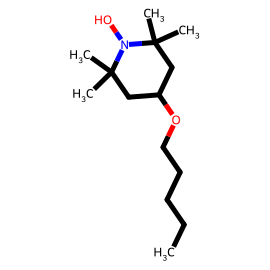 CCCCCOC1CC(C)(C)N(O)C(C)(C)C1